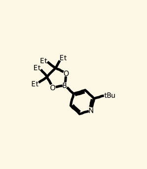 CCC1(CC)OB(c2ccnc(C(C)(C)C)c2)OC1(CC)CC